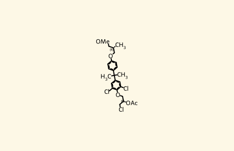 COC[C@@H](C)COc1ccc(C(C)(C)c2cc(Cl)c(OC[C@H](CCl)OC(C)=O)c(Cl)c2)cc1